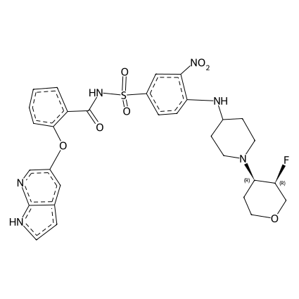 O=C(NS(=O)(=O)c1ccc(NC2CCN([C@@H]3CCOC[C@@H]3F)CC2)c([N+](=O)[O-])c1)c1ccccc1Oc1cnc2[nH]ccc2c1